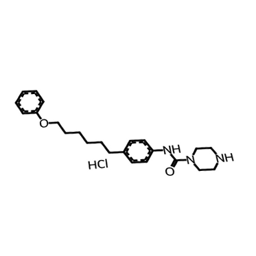 Cl.O=C(Nc1ccc(CCCCCCOc2ccccc2)cc1)N1CCNCC1